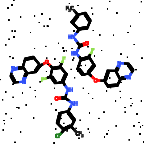 O=C(Nc1cc(F)c(Oc2ccc3nccnc3c2)c(F)c1)Nc1ccc(Cl)c(C(F)(F)F)c1.O=C(Nc1cccc(C(F)(F)F)c1)Nc1ccc(Oc2ccc3nccnc3c2)cc1F